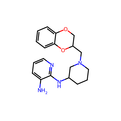 Nc1cccnc1NC1CCCN(CC2COc3ccccc3O2)C1